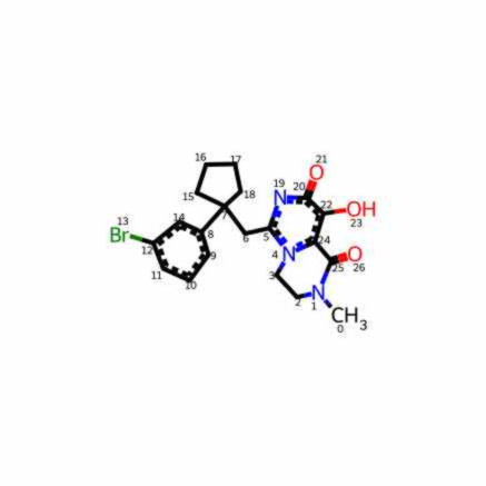 CN1CCn2c(CC3(c4cccc(Br)c4)CCCC3)nc(=O)c(O)c2C1=O